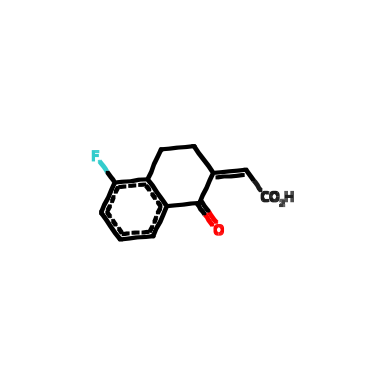 O=C(O)/C=C1/CCc2c(F)cccc2C1=O